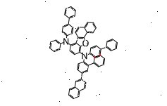 c1ccc(-c2ccc(N(c3ccc(-c4ccc5ccccc5c4)cc3-c3ccccc3)c3ccc(N(c4ccccc4)c4ccc(-c5ccccc5)cc4)c4c3oc3c5ccccc5ccc34)cc2)cc1